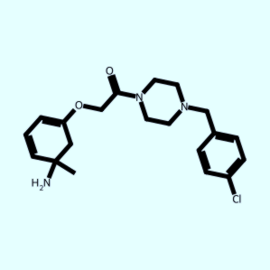 CC1(N)C=CC=C(OCC(=O)N2CCN(Cc3ccc(Cl)cc3)CC2)C1